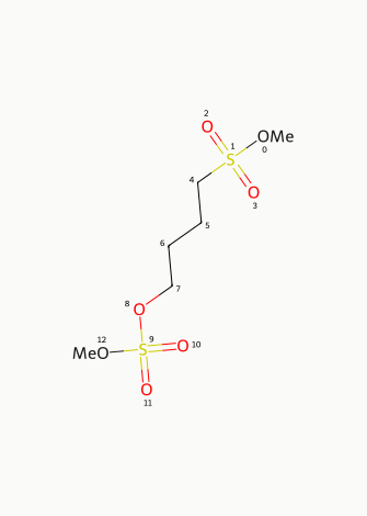 COS(=O)(=O)CCCCOS(=O)(=O)OC